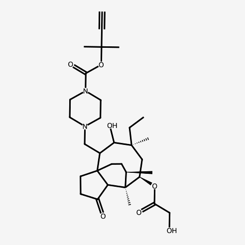 C#CC(C)(C)OC(=O)N1CCN(CC2C(O)[C@@](C)(CC)C[C@@H](OC(=O)CO)[C@@]3(C)C4C(=O)CCC24CC[C@H]3C)CC1